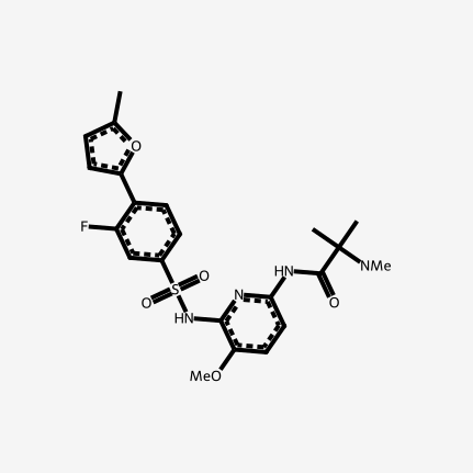 CNC(C)(C)C(=O)Nc1ccc(OC)c(NS(=O)(=O)c2ccc(-c3ccc(C)o3)c(F)c2)n1